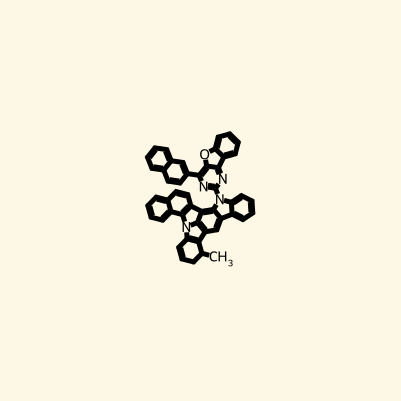 CC1CC=Cc2c1c1cc3c4ccccc4n(-c4nc(-c5ccc6ccccc6c5)c5oc6ccccc6c5n4)c3c3c4ccc5ccccc5c4n2c13